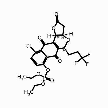 CCOP(=O)(OCC)Oc1ccc(Cl)c2c1C(=O)C1=C(C2=O)[C@H]2OC(=O)C[C@H]2O[C@H]1CCC(F)(F)F